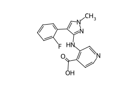 Cn1cc(-c2ccccc2F)c(Nc2cnccc2C(=O)O)n1